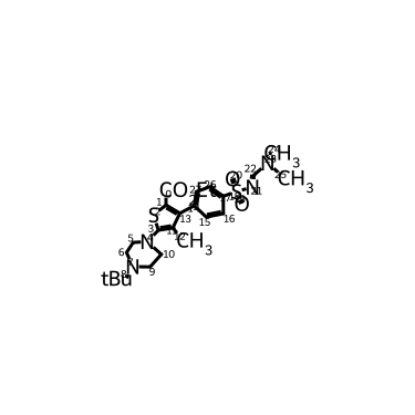 CCOC(=O)c1sc(N2CCN(C(C)(C)C)CC2)c(C)c1-c1ccc(S(=O)(=O)N=CN(C)C)cc1